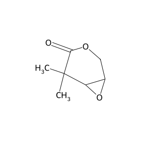 CC1(C)C(=O)OCC2OC21